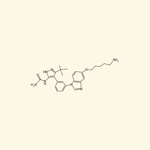 CC(C)(C)c1n[nH]c(NC(N)=O)c1-c1cccc(-n2cnc3cc(OCCCCCN)ccc32)c1